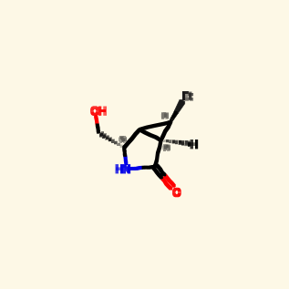 CC[C@@H]1C2[C@@H](CO)NC(=O)[C@@H]21